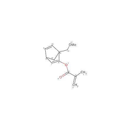 C=C(C)C(=O)OC1=CC2C=CC1(COC)C2